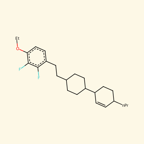 CCCC1C=CC(C2CCC(CCc3ccc(OCC)c(F)c3F)CC2)CC1